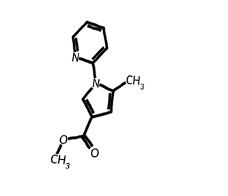 COC(=O)c1cc(C)n(-c2ccccn2)c1